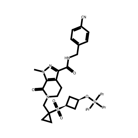 CC(C)[Si](O[C@H]1C[C@@H](S(=O)(=O)C2(CN3CCc4c(C(=O)NCc5ccc(C#N)cc5)nn(C)c4C3=O)CC2)C1)(C(C)C)C(C)C